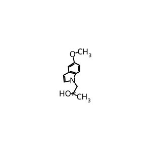 COc1ccc2c(ccn2C[C@H](C)O)c1